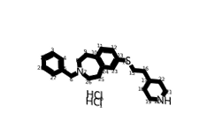 Cl.Cl.c1ccc(CN2CCc3ccc(SCCC4CCNCC4)cc3CC2)cc1